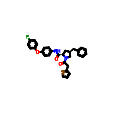 O=C(Nc1ccc(Oc2ccc(F)cc2)cc1)[C@@H]1C[C@@H](Cc2ccccc2)CN1C(=O)Cc1cccs1